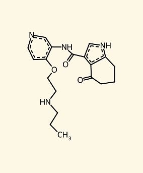 CCCNCCOc1ccncc1NC(=O)c1c[nH]c2c1C(=O)CCC2